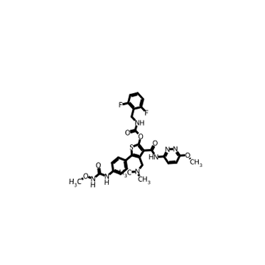 CONC(=O)Nc1ccc(-c2sc(OC(=O)NCc3c(F)cccc3F)c(C(=O)Nc3ccc(OC)nn3)c2CN(C)C)cc1